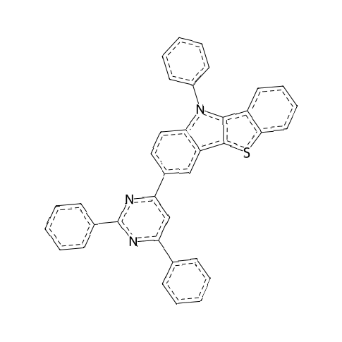 c1ccc(-c2cc(-c3ccc4c(c3)c3sc5ccccc5c3n4-c3ccccc3)nc(-c3ccccc3)n2)cc1